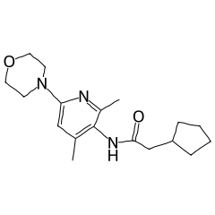 Cc1cc(N2CCOCC2)nc(C)c1NC(=O)CC1CCCC1